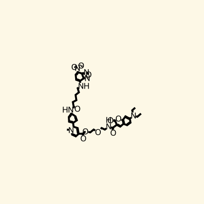 CCN(CC)c1ccc2cc(C(=O)NCCOCCOC(=O)C3=CC(c4ccc(NC(=O)CCCCCNc5ccc([N+](=O)[O-])c6nonc56)cc4)N(C)C=C3)c(=O)oc2c1